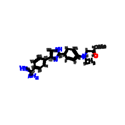 COC(=O)CN(C)c1ccc(-c2nc(-c3ccc(C(=N)N)cc3)c[nH]2)cc1